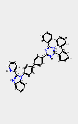 c1ccc(-c2nc(-c3ccc(-c4ccc(-n5c(-c6ccccn6)nc6ccccc65)cc4)cc3)nc(-c3ccccc3-c3ccccc3)n2)cc1